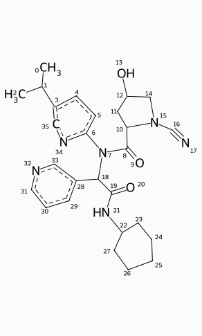 CC(C)c1ccc(N(C(=O)C2CC(O)CN2C#N)C(C(=O)NC2CCCCC2)c2cccnc2)nc1